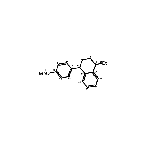 CCC1CCC(c2ccc(OC)cc2)c2ccccc21